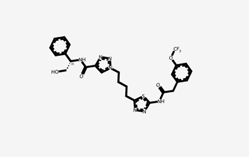 O=C(Cc1cccc(OC(F)(F)F)c1)Nc1nnc(CCCCn2cc(C(=O)N[C@H](CO)c3ccccc3)nn2)s1